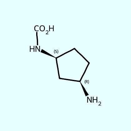 N[C@@H]1CC[C@H](NC(=O)O)C1